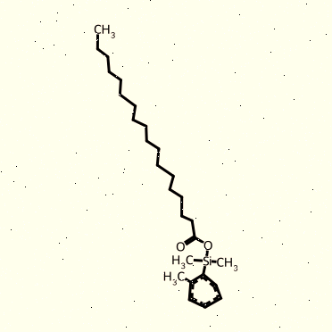 CCCCCCCCCCCCCCCCCC(=O)O[Si](C)(C)c1ccccc1C